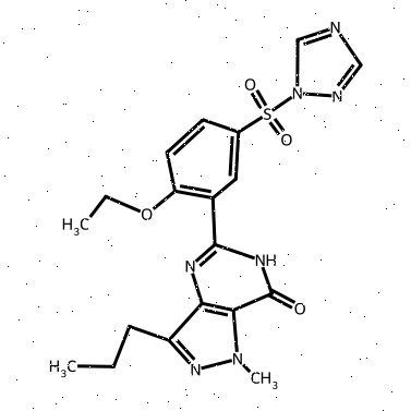 CCCc1nn(C)c2c(=O)[nH]c(-c3cc(S(=O)(=O)n4cncn4)ccc3OCC)nc12